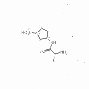 C[C@@H](N)C(=O)N[C@H]1CCN(C(=O)O)C1